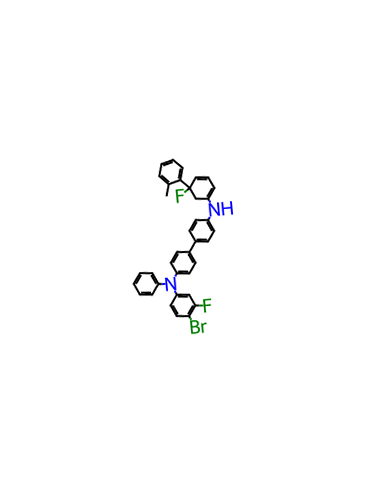 Cc1ccccc1C1(F)C=CC=C(Nc2ccc(-c3ccc(N(c4ccccc4)c4ccc(Br)c(F)c4)cc3)cc2)C1